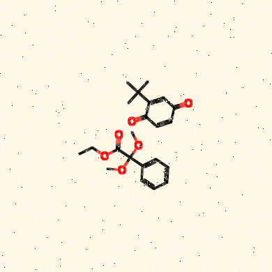 CC(C)(C)C1=CC(=O)C=CC1=O.CCOC(=O)C(OC)(OC)c1ccccc1